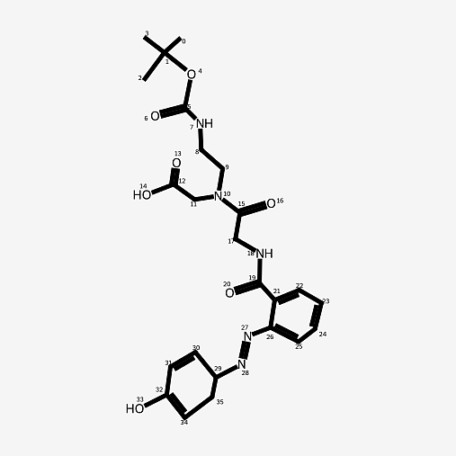 CC(C)(C)OC(=O)NCCN(CC(=O)O)C(=O)CNC(=O)c1ccccc1/N=N/C1C=CC(O)=CC1